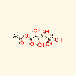 CC(=O)C(=O)OC(=O)[C@H](O)[C@@H](O)[C@H](O)[C@H](O)CO